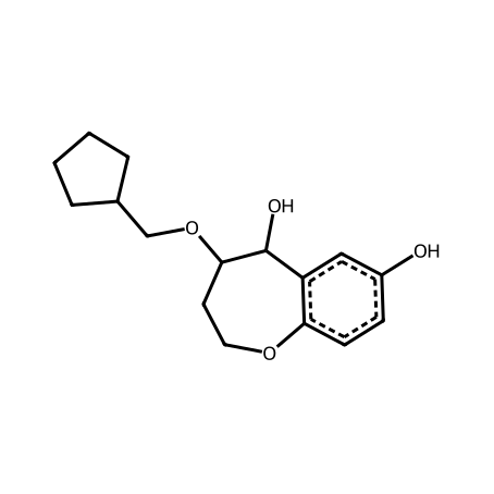 Oc1ccc2c(c1)C(O)C(OCC1CCCC1)CCO2